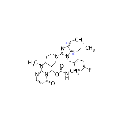 C/C=c1/nc(N2CCC(N(C)c3nccc(=O)n3COC(=O)NC)CC2)n(Cc2ccc(F)cc2)/c1=C/CC